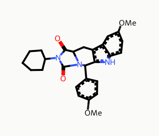 COc1ccc(C2c3[nH]c4ccc(OC)cc4c3CC3C(=O)N(C4CCCCC4)C(=O)N32)cc1